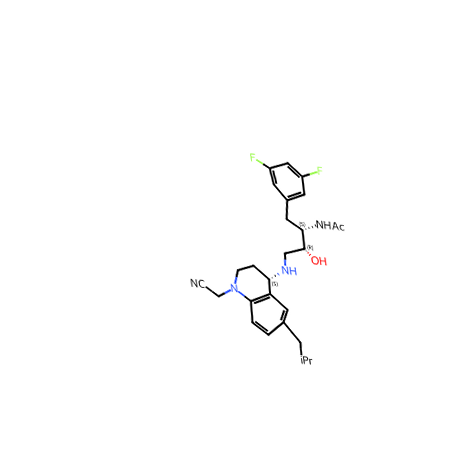 CC(=O)N[C@@H](Cc1cc(F)cc(F)c1)[C@H](O)CN[C@H]1CCN(CC#N)c2ccc(CC(C)C)cc21